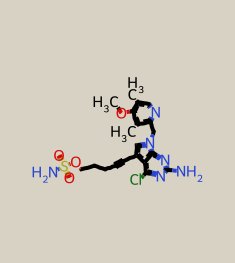 COc1c(C)cnc(Cn2cc(C#CCCCOS(N)(=O)=O)c3c(Cl)nc(N)nc32)c1C